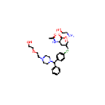 CC(=O)NC(CC(C)C)C(=O)O.NCCO.OCCOCCN1CCN(C(c2ccccc2)c2ccc(Cl)cc2)CC1